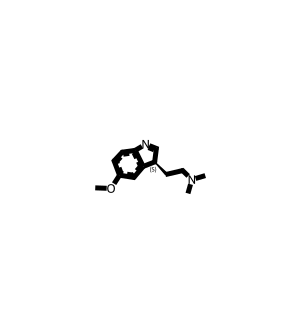 COc1ccc2c(c1)[C@H](CCN(C)C)C=N2